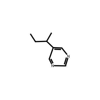 CCC(C)c1cn[c]nc1